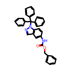 O=C(Nc1ccc2c(cnn2C(c2ccccc2)(c2ccccc2)c2ccccc2)c1)OCc1ccccc1